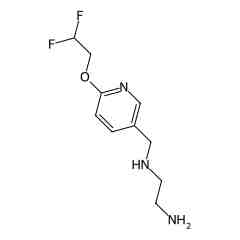 NCCNCc1ccc(OCC(F)F)nc1